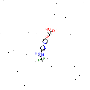 CC(C)(COC1CCN(c2ccc(-c3nc(C(C)(F)F)c[nH]3)cn2)CC1)C(=O)O